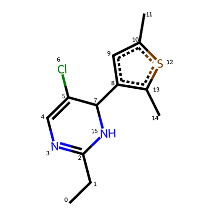 CCC1=NC=C(Cl)C(c2cc(C)sc2C)N1